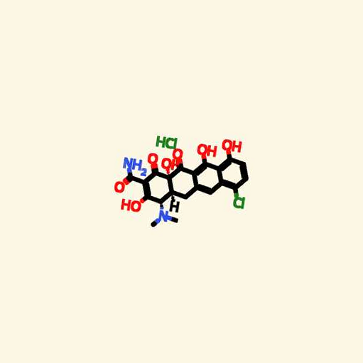 CN(C)[C@@H]1C(O)=C(C(N)=O)C(=O)[C@@]2(O)C(=O)c3c(cc4c(Cl)ccc(O)c4c3O)C[C@@H]12.Cl